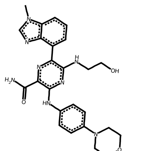 Cn1cnc2c(-c3nc(C(N)=O)c(Nc4ccc(N5CCOCC5)cc4)nc3NCCO)cccc21